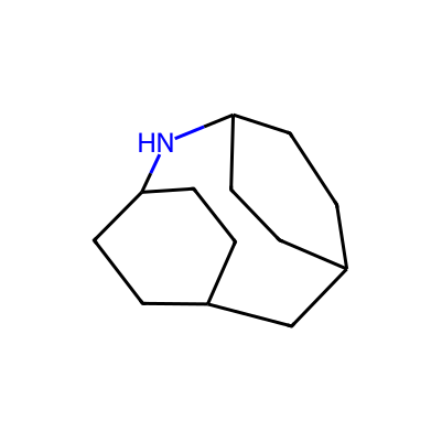 C1CC2CCC1CC1CCC(CC1)N2